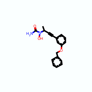 CC(C#Cc1cccc(OCc2ccccc2)c1)N(O)C(N)=O